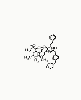 COCC(NC(=O)C(CCc1ccccc1)NC(=O)Cc1ccc(CN2CCOCC2)cc1)C(=O)NC(CC(C)C)C(=O)C1(C)CO1